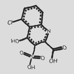 O=C(O)c1nc2cccc(Cl)c2c(O)c1S(=O)(=O)O